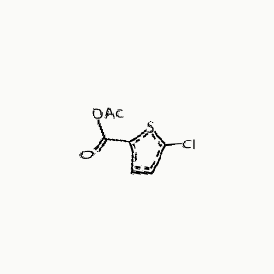 CC(=O)OC(=O)c1ccc(Cl)s1